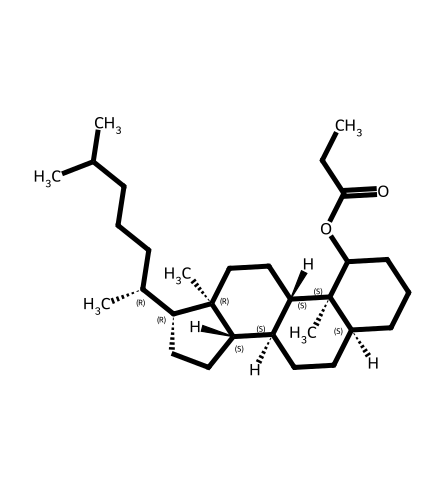 CCC(=O)OC1CCC[C@H]2CC[C@H]3[C@@H]4CC[C@H]([C@H](C)CCCC(C)C)[C@@]4(C)CC[C@@H]3[C@@]12C